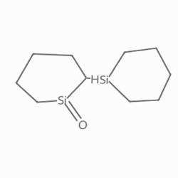 O=[Si]1CCCCC1[SiH]1CCCCC1